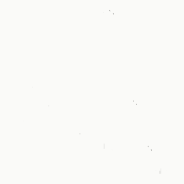 CCCN1CCN(c2ccc(C#N)cc2C2CC(C)(C)CC(C)(C)C2)CC1